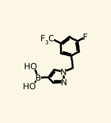 OB(O)c1cnn(Cc2cc(F)cc(C(F)(F)F)c2)c1